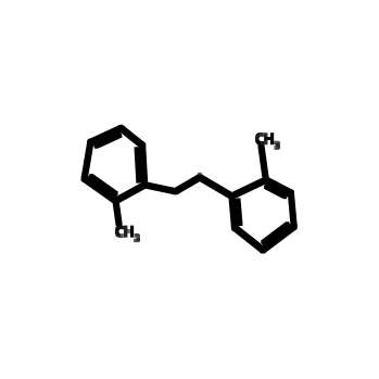 Cc1ccccc1[CH]Cc1ccccc1C